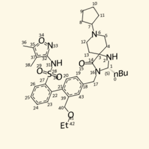 CCCC[C@H]1NC2(CCN(C3CCCC3)CC2)C(=O)N1Cc1ccc(-c2ccccc2S(=O)(=O)Nc2noc(C)c2C)c(COCC)c1